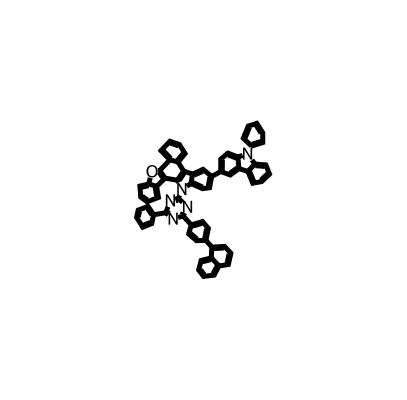 c1ccc(-c2nc(-c3ccc(-c4cccc5ccccc45)cc3)nc(-n3c4ccc(-c5ccc6c(c5)c5ccccc5n6-c5ccccc5)cc4c4c5ccccc5c5oc6ccccc6c5c43)n2)cc1